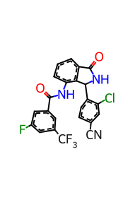 N#Cc1ccc(C2NC(=O)c3cccc(NC(=O)c4cc(F)cc(C(F)(F)F)c4)c32)c(Cl)c1